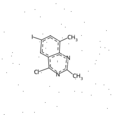 Cc1nc(Cl)c2cc(I)cc(C)c2n1